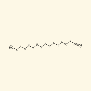 C#CCOCCCCCCCCCCCCO